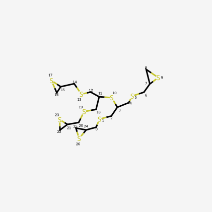 C(SCC(CSCC1CS1)SC(CSCC1CS1)CSCC1CS1)C1CS1